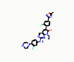 CCn1c(=O)c(-c2ccc(-c3noc(C)n3)cc2Cl)cc2cnc(Nc3ccc(N4CCNCC4)c(F)c3)nc21